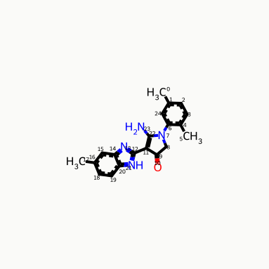 Cc1ccc(C)c(N2CC(=O)C(c3nc4cc(C)ccc4[nH]3)=C2N)c1